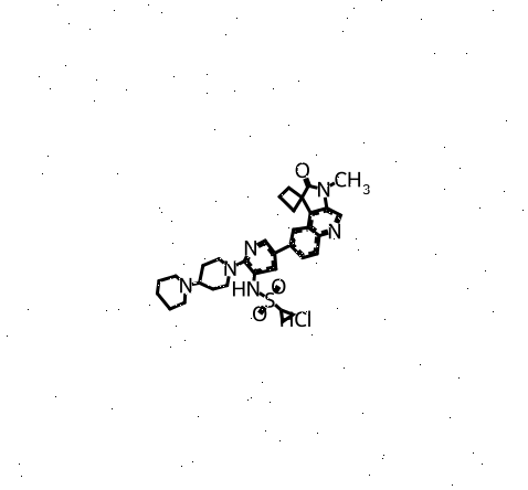 CN1C(=O)C2(CCC2)c2c1cnc1ccc(-c3cnc(N4CCC(N5CCCCC5)CC4)c(NS(=O)(=O)C4CC4)c3)cc21.Cl